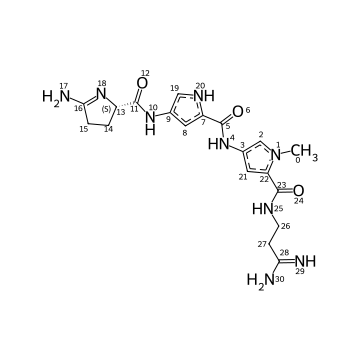 Cn1cc(NC(=O)c2cc(NC(=O)[C@@H]3CCC(N)=N3)c[nH]2)cc1C(=O)NCCC(=N)N